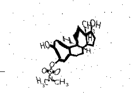 CN(C)S(=O)(=O)Oc1cc2c(cc1O)[C@H]1CC[C@]3(C)[C@@H](O)CC[C@H]3[C@@H]1CC2